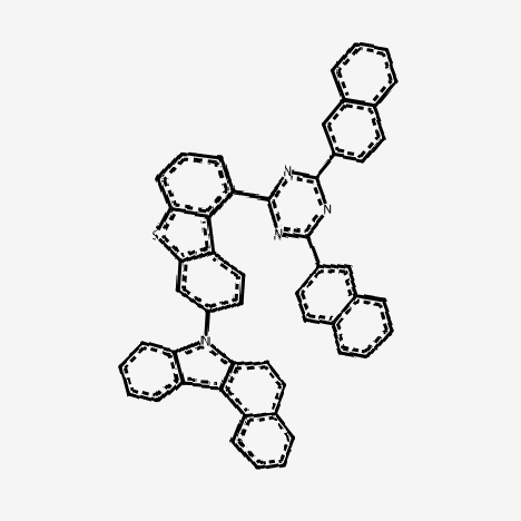 c1ccc2cc(-c3nc(-c4ccc5ccccc5c4)nc(-c4cccc5sc6cc(-n7c8ccccc8c8c9ccccc9ccc87)ccc6c45)n3)ccc2c1